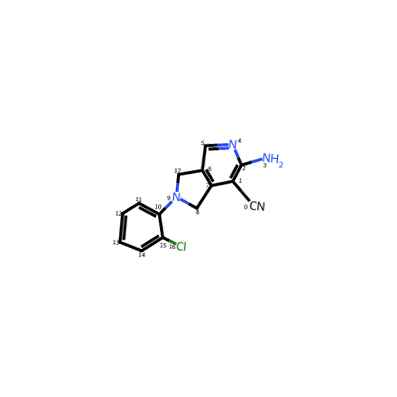 N#Cc1c(N)ncc2c1CN(c1ccccc1Cl)C2